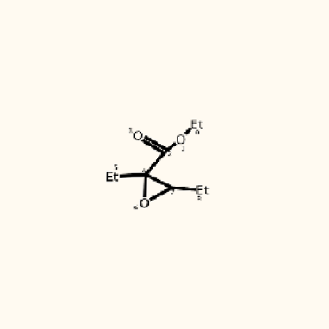 CCOC(=O)C1(CC)OC1CC